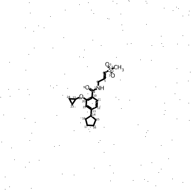 CS(=O)(=O)C=CCNC(=O)c1ccc(C2CCCC2)cc1OC1CC1